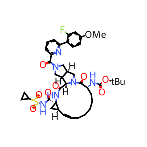 COc1ccc(-c2cccc(C(=O)N3C[C@H]4CN5C(=O)[C@@H](NC(=O)OC(C)(C)C)CCCCC/C=C\[C@H]6C[C@@]6(C(=O)NS(=O)(=O)C6CC6)NC(=O)[C@@H]5[C@H]4C3)n2)c(F)c1